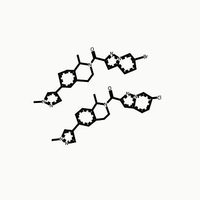 CC1c2ccc(-c3cnn(C)c3)cc2CCN1C(=O)c1cc2ccc(Br)cn2n1.CC1c2ccc(-c3cnn(C)c3)cc2CCN1C(=O)c1cc2ccc(Cl)cn2n1